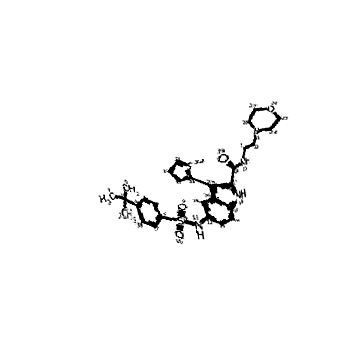 CC(C)(C)c1ccc(S(=O)(=O)Nc2ccc3[nH]c(C(=O)NCCN4CCOCC4)c(-c4cccs4)c3c2)cc1